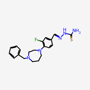 NC(=S)NN=Cc1ccc(N2CCCN(Cc3ccccc3)CC2)c(F)c1